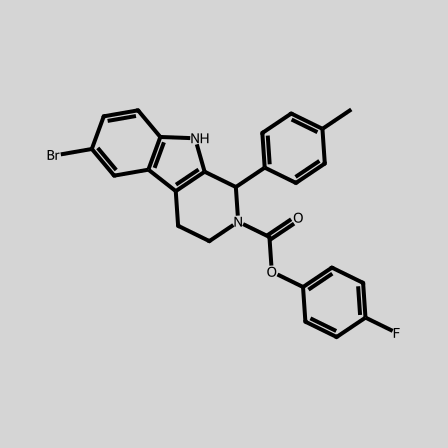 Cc1ccc(C2c3[nH]c4ccc(Br)cc4c3CCN2C(=O)Oc2ccc(F)cc2)cc1